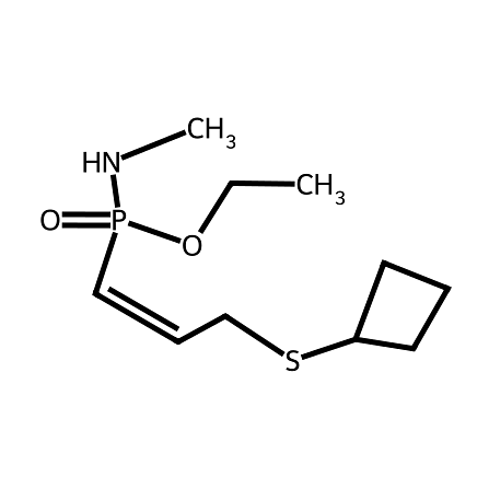 CCOP(=O)(/C=C\CSC1CCC1)NC